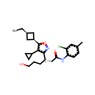 Cc1ccc(NC(=O)C[C@H](CCCO)c2noc([C@H]3C[C@@H](CC(C)(C)C)C3)c2C2CC2)c(Cl)c1